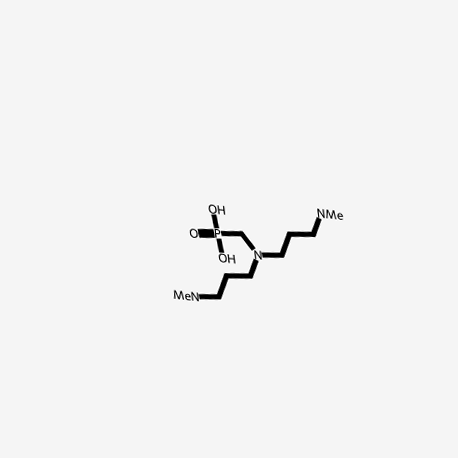 [CH2]NCCCN(CCCN[CH2])CP(=O)(O)O